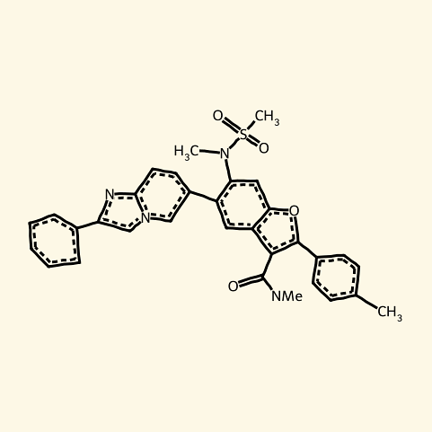 CNC(=O)c1c(-c2ccc(C)cc2)oc2cc(N(C)S(C)(=O)=O)c(-c3ccc4nc(-c5ccccc5)cn4c3)cc12